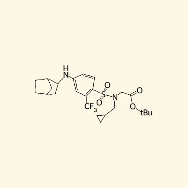 CC(C)(C)OC(=O)CN(CC1CC1)S(=O)(=O)c1ccc(NC2CC3CCC2C3)cc1C(F)(F)F